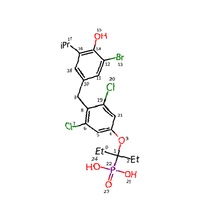 CCC(CC)(Oc1cc(Cl)c(Cc2cc(Br)c(O)c(C(C)C)c2)c(Cl)c1)P(=O)(O)O